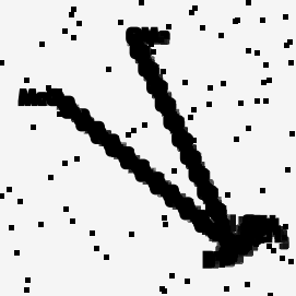 COCCOOCCOOCCOOCCOOCCOOCCOOCCOOCCOOCCOOCCOOCCOCCCC1(CCCOCCOOCCOOCCOOCCOOCCOOCCOOCCOOCCOOCCOOCCOOCCOC)c2cc(Br)ccc2-c2ccc(B3OC(C)(C)C(C)(C)O3)cc21